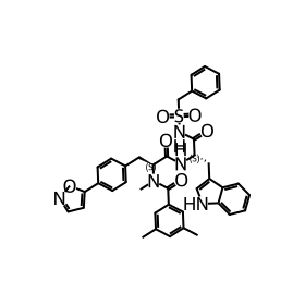 Cc1cc(C)cc(C(=O)N(C)[C@@H](Cc2ccc(-c3ccno3)cc2)C(=O)N[C@@H](Cc2c[nH]c3ccccc23)C(=O)NS(=O)(=O)Cc2ccccc2)c1